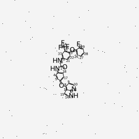 O=C(Nc1ccc(Oc2ccnc3[nH]ccc23)cc1)Nc1ccc(Oc2ccccc2F)c(C(F)(F)F)c1